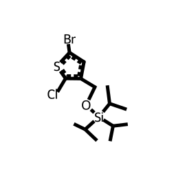 CC(C)[Si](OCc1cc(Br)sc1Cl)(C(C)C)C(C)C